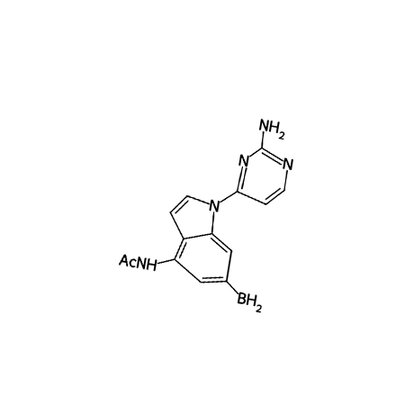 Bc1cc(NC(C)=O)c2ccn(-c3ccnc(N)n3)c2c1